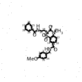 COc1ccc(CNC(=O)c2ccc3c(c2)S(=O)(=O)N(CCNC(=O)c2ccccc2)C(=O)N3C)cc1